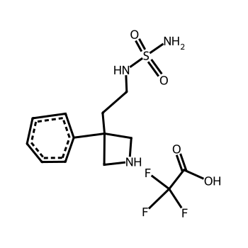 NS(=O)(=O)NCCC1(c2ccccc2)CNC1.O=C(O)C(F)(F)F